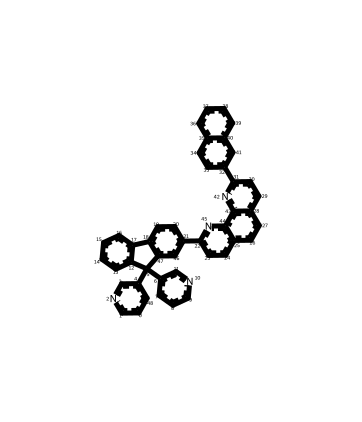 c1cncc(C2(c3cccnc3)c3ccccc3-c3ccc(-c4ccc5ccc6ccc(-c7ccc8ccccc8c7)nc6c5n4)cc32)c1